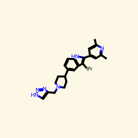 Cc1cc(-c2[nH]c3ccc(C4CCN(Cc5c[nH]nn5)CC4)cc3c2C(C)C)cc(C)n1